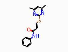 Cc1cc(C)nc(SC=CC(=O)Nc2ccccc2)n1